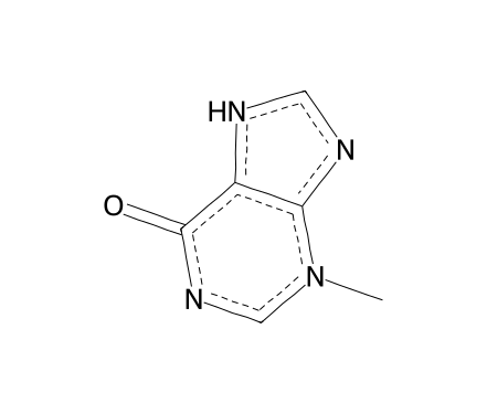 Cn1cnc(=O)c2[nH]cnc21